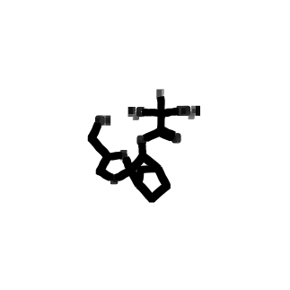 O=C(OC1C2CCC(C2)C12SCC(CO)S2)C(F)(C(F)(F)F)S(=O)(=O)O